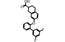 O=C(O)C1CCc2ccc(Oc3ccccc3-c3cc(F)cc(F)c3)cc2C1